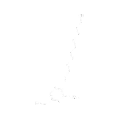 COc1cc(CO)ccc1OCCCCCCCCCCO